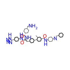 Cc1cc(C(=O)NC2CCC(N(C)Cc3ccccc3)CC2)ccc1-c1ccc(C[C@H](NC(=O)[C@H]2CC[C@H](CN)CC2)C(=O)Nc2ccc(-c3nnn[nH]3)cc2)cc1